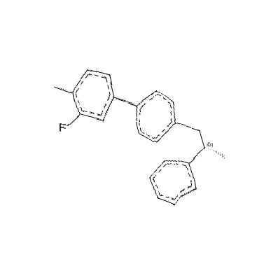 Cc1ccc(-c2ccc(C[C@H](C)c3ccccc3)cc2)cc1F